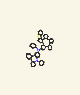 c1ccc(N(c2ccc3c(c2)-c2ccccc2-c2ccccc2N3c2ccccc2)c2ccc3c4ccccc4c4ccccc4c4ccccc4c4c(ccc5sc6ccccc6c54)c3c2)cc1